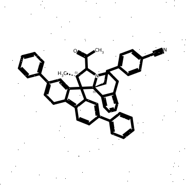 CC(=O)C1[C@@H](C)C2(C3=CC(c4ccccc4)=CCC3=C3C=CC(c4ccccc4)=CC32)[C@@]2(CCc3ccc(C#N)cc3)c3ccccc3CCN12